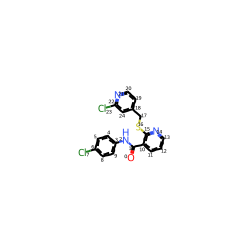 O=C(Nc1ccc(Cl)cc1)c1cccnc1SCc1ccnc(Cl)c1